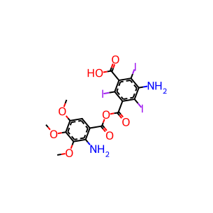 COc1cc(C(=O)OC(=O)c2c(I)c(N)c(I)c(C(=O)O)c2I)c(N)c(OC)c1OC